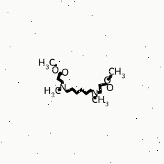 CCOC(=O)CCN(C)CCCCCCN(C)CCC(=O)OCC